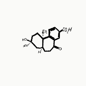 CCC[C@]1(O)CC[C@@]2(CC)c3ccc(C(=O)O)cc3C(=O)CC[C@H]2C1